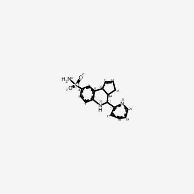 NS(=O)(=O)c1ccc2c(c1)C1C=CCC1C(c1ccccn1)N2